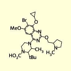 COc1cc2c(N3CCN(C(=O)O)C(C(C)(C)C)C3C)nc(OCC3CCCN3C)nc2c(OC2CC2)c1Br